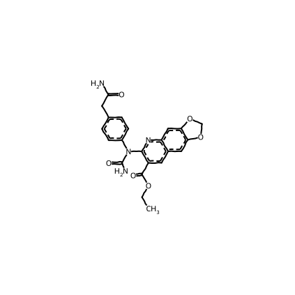 CCOC(=O)c1cc2cc3c(cc2nc1N(C(N)=O)c1ccc(CC(N)=O)cc1)OCO3